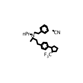 CC#N.CCCN(CCc1ccccc1)C(C)CCc1ccc(C2CCCC2C(F)(F)F)cc1